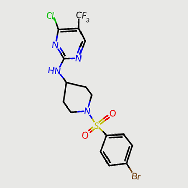 O=S(=O)(c1ccc(Br)cc1)N1CCC(Nc2ncc(C(F)(F)F)c(Cl)n2)CC1